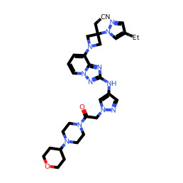 CCc1cnn(C2(CC#N)CN(c3cccn4nc(Nc5cnn(CC(=O)N6CCN(C7CCOCC7)CC6)c5)nc34)C2)c1